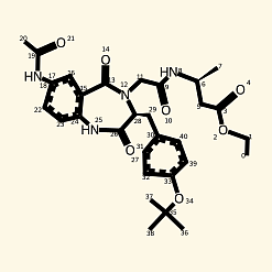 CCOC(=O)C[C@H](C)NC(=O)CN1C(=O)c2cc(NC(C)=O)ccc2NC(=O)[C@@H]1Cc1ccc(OC(C)(C)C)cc1